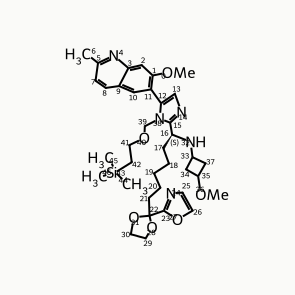 COc1cc2nc(C)ccc2cc1-c1cnc([C@H](CCCCCC2(c3ncco3)OCCO2)NC2CC(OC)C2)n1COCC[Si](C)(C)C